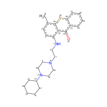 Cc1ccc(NCCN2CCN(C3CCCCC3)CC2)c2c(=O)c3ccccc3sc12